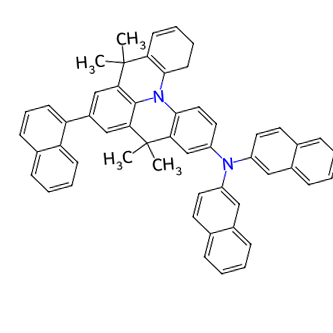 CC1(C)C2=C(CCC=C2)N2c3ccc(N(c4ccc5ccccc5c4)c4ccc5ccccc5c4)cc3C(C)(C)c3cc(-c4cccc5ccccc45)cc1c32